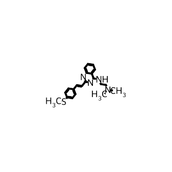 CSc1ccc(C=Cc2nc(NCCN(C)C)c3ccccc3n2)cc1